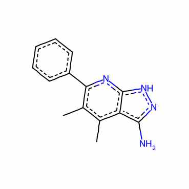 Cc1c(-c2ccccc2)nc2[nH]nc(N)c2c1C